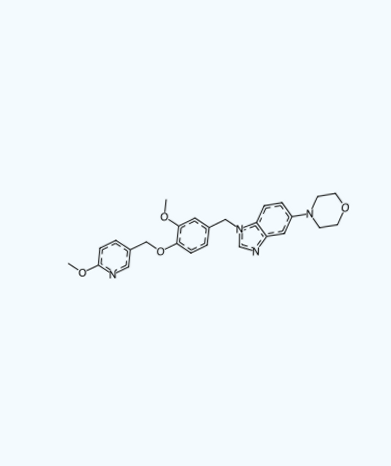 COc1ccc(COc2ccc(Cn3cnc4cc(N5CCOCC5)ccc43)cc2OC)cn1